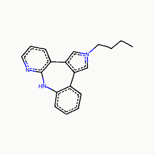 CCCCn1cc2c(c1)-c1cccnc1Nc1ccccc1-2